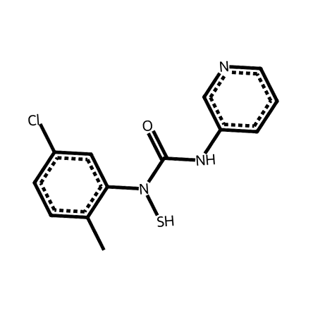 Cc1ccc(Cl)cc1N(S)C(=O)Nc1cccnc1